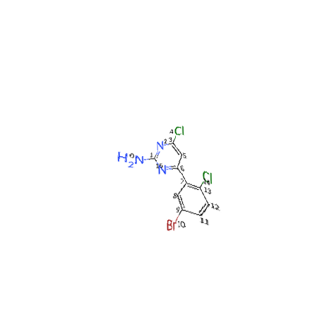 Nc1nc(Cl)cc(-c2cc(Br)ccc2Cl)n1